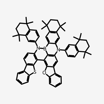 CC1(C)CCC(C)(C)c2cc(N3B4c5cc6c(cc5N(c5ccc7c(c5)C(C)(C)CCC7(C)C)c5cc7c(oc8ccccc87)c(c54)-c4c3ccc3c4sc4ccccc43)C(C)(C)CCC6(C)C)ccc21